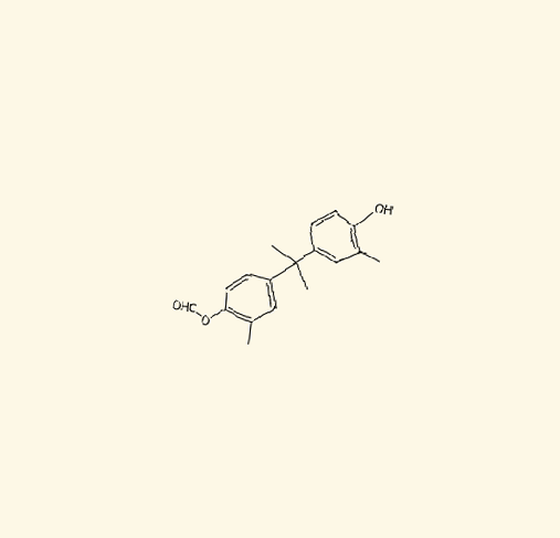 Cc1cc(C(C)(C)c2ccc(OC=O)c(C)c2)ccc1O